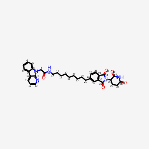 O=C(Cn1c2ccccc2c2cccnc21)NCCCCCCCCCc1ccc2c(c1)C(=O)N(C1CCC(=O)NC1=O)C2=O